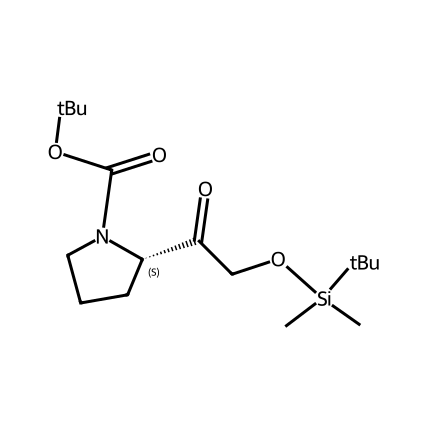 CC(C)(C)OC(=O)N1CCC[C@H]1C(=O)CO[Si](C)(C)C(C)(C)C